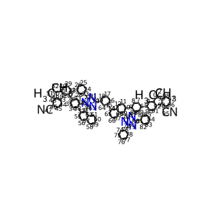 CC1(C)c2cc(-c3ccc(-c4ccc5c(-c6cccc(-c7nc(-c8ccccc8)nc(-c8c(-c9ccc(-c%10cccc%11c%10-c%10ccc(C#N)cc%10C%11(C)C)cc9)ccc9ccccc89)n7)c6)cccc5c4-c4nc(-c5ccccc5)nc(-c5ccccc5)n4)cc3)ccc2-c2c(C#N)cccc21